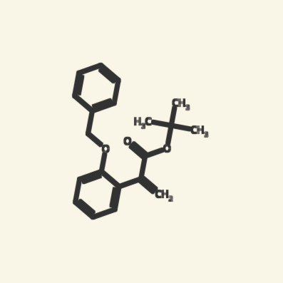 C=C(C(=O)OC(C)(C)C)c1ccccc1OCc1ccccc1